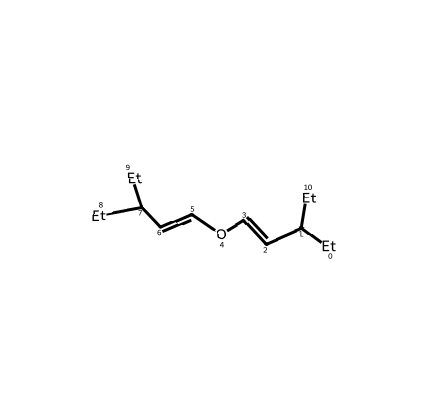 CCC(C=COC=CC(CC)CC)CC